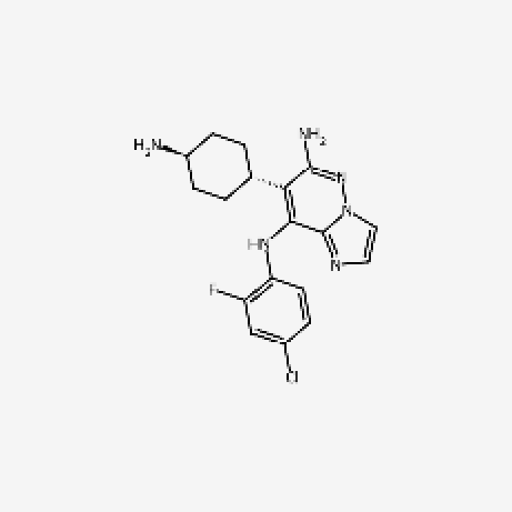 Nc1nn2ccnc2c(Nc2ccc(Cl)cc2F)c1[C@H]1CC[C@H](N)CC1